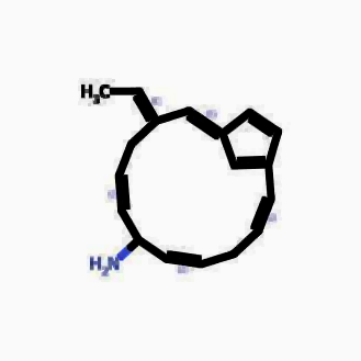 C/C=C1/C=C2\C=CC(=C2)/C=C\C/C=C\C(N)/C=C\C1